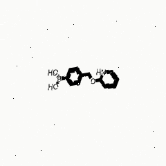 OB(O)c1ccc(COC2C=CC=CN2)cc1